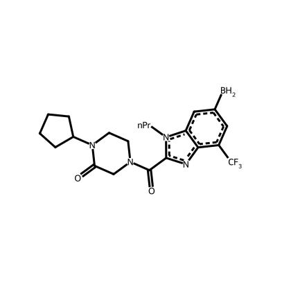 Bc1cc(C(F)(F)F)c2nc(C(=O)N3CCN(C4CCCC4)C(=O)C3)n(CCC)c2c1